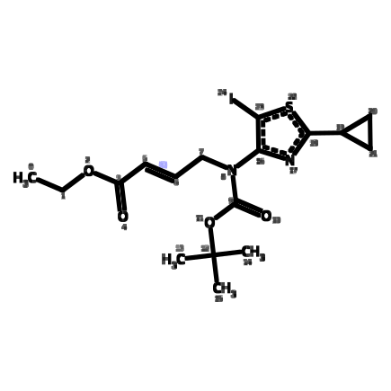 CCOC(=O)/C=C/CN(C(=O)OC(C)(C)C)c1nc(C2CC2)sc1I